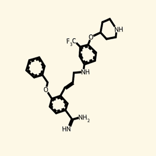 N=C(N)c1ccc(OCc2ccccc2)c(C=CCNc2ccc(OC3CCNCC3)c(C(F)(F)F)c2)c1